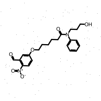 O=Cc1cc(OCCCCCC(=O)N(CCCO)c2ccccc2)ccc1[N+](=O)[O-]